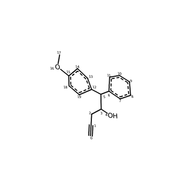 C#CCC(O)C(c1ccccc1)c1ccc(OC)cc1